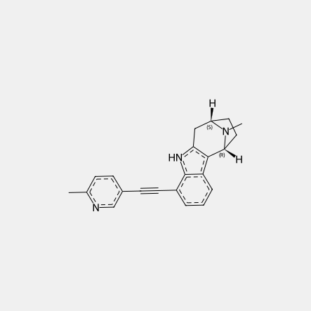 Cc1ccc(C#Cc2cccc3c4c([nH]c23)C[C@@H]2CC[C@H]4N2C)cn1